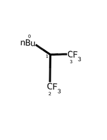 CCCCC(C(F)(F)F)C(F)(F)F